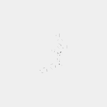 COCc1c(S(=O)(=O)N2CCN(C(=O)c3ccc(-c4ccncc4)cc3)CC2)[nH]c2ccc(Cl)cc12